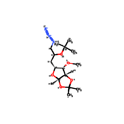 CO[C@@H]1[C@H]2OC(C)(C)O[C@H]2O[C@@H]1CC(CN=[N+]=[N-])O[Si](C)(C)C